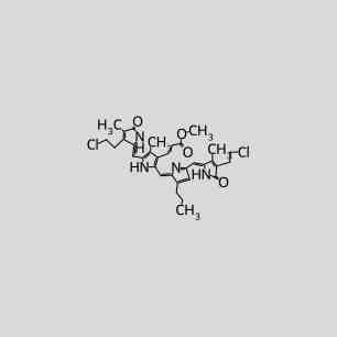 CCCC1=CC(/C=C2\NC(=O)C(CCCl)=C2C)=NC/1=C\c1[nH]c(/C=C2\NC(=O)C(C)=C2CCCl)c(C)c1CCC(=O)OC